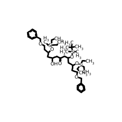 CC[Si](CC)(CC)OC(CCOCc1ccccc1)CC(O)CC(=O)CC(CC(CCOCc1ccccc1)O[Si](CC)(CC)CC)O[Si](C)(C)C(C)(C)C